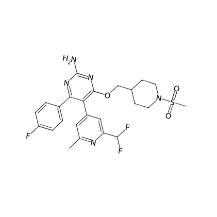 Cc1cc(-c2c(OCC3CCN(S(C)(=O)=O)CC3)nc(N)nc2-c2ccc(F)cc2)cc(C(F)F)n1